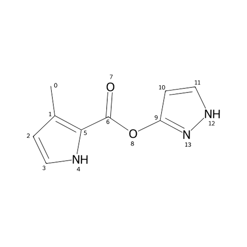 Cc1cc[nH]c1C(=O)Oc1cc[nH]n1